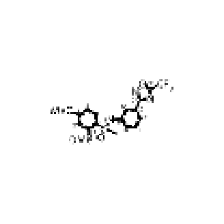 COc1ccc(S(C)(=O)=Nc2cccc(-c3noc(C(F)(F)F)n3)c2)c(OC)c1